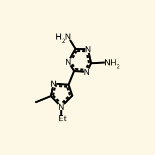 CCn1cc(-c2nc(N)nc(N)n2)nc1C